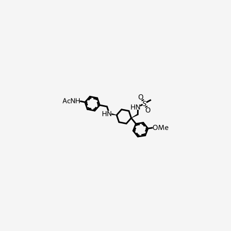 COc1cccc([C@]2(CNS(C)(=O)=O)CC[C@@H](NCc3ccc(NC(C)=O)cc3)CC2)c1